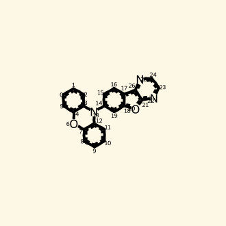 c1ccc2c(c1)Oc1ccccc1N2c1ccc2c(c1)oc1nccnc12